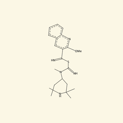 COc1nc2ccccc2cc1C(=N)SC(=N)N(C)C1CC(C)(C)NC(C)(C)C1